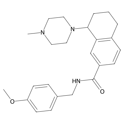 COc1ccc(CNC(=O)c2ccc3c(c2)C(N2CCN(C)CC2)CCC3)cc1